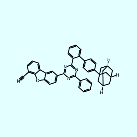 N#Cc1cccc2c1oc1ccc(-c3nc(-c4ccccc4)nc(-c4ccccc4-c4ccc(C56C[C@H]7C[C@H](C5)C[C@@H](C6)C7)cc4)n3)cc12